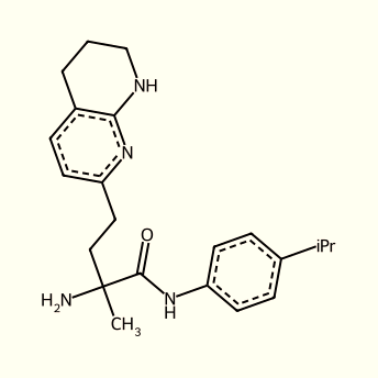 CC(C)c1ccc(NC(=O)C(C)(N)CCc2ccc3c(n2)NCCC3)cc1